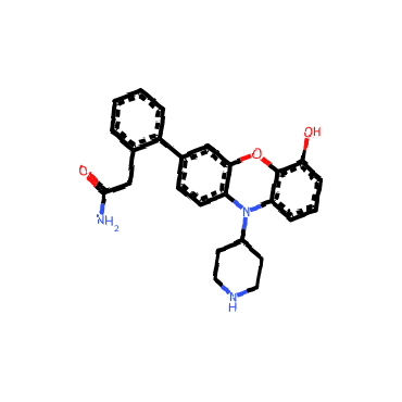 NC(=O)Cc1ccccc1-c1ccc2c(c1)Oc1c(O)cccc1N2C1CCNCC1